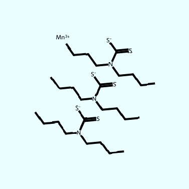 CCCCN(CCCC)C(=S)[S-].CCCCN(CCCC)C(=S)[S-].CCCCN(CCCC)C(=S)[S-].[Mn+3]